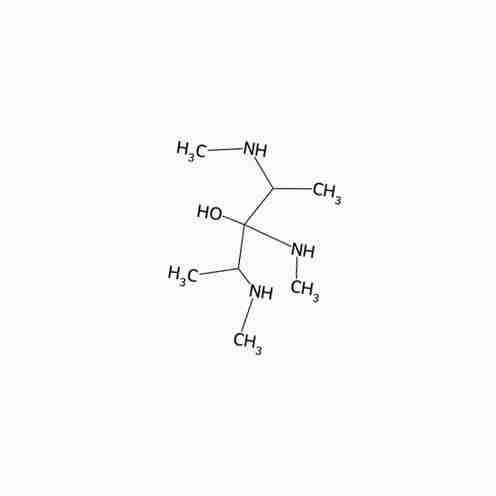 CNC(C)C(O)(NC)C(C)NC